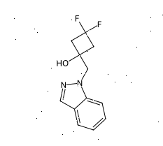 OC1(Cn2ncc3ccccc32)CC(F)(F)C1